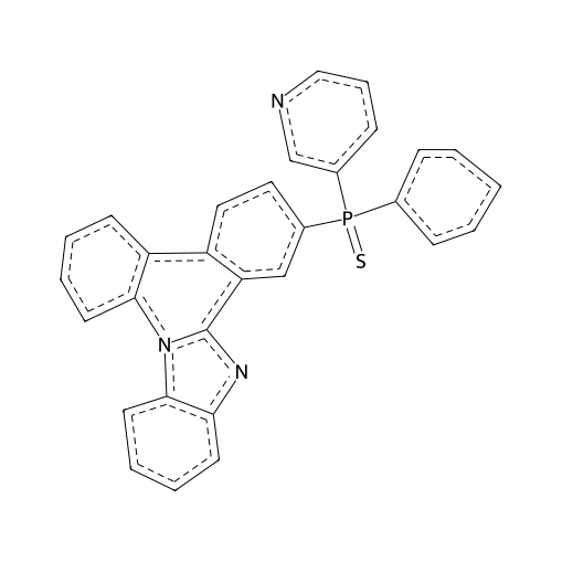 S=P(c1ccccc1)(c1cccnc1)c1ccc2c3ccccc3n3c4ccccc4nc3c2c1